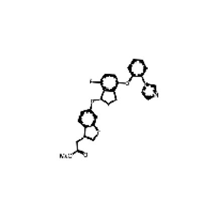 COC(=O)C[C@@H]1COc2cc(O[C@@H]3CCc4c(Oc5ccccc5-n5ccnc5)ccc(F)c43)ccc21